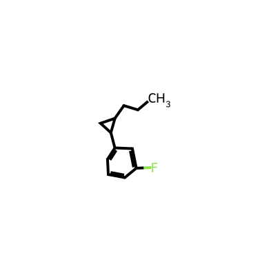 CCCC1CC1c1cccc(F)c1